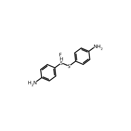 Nc1ccc(S[SH](F)c2ccc(N)cc2)cc1